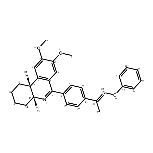 COc1cc2c(cc1OC)[C@H]1CCCC[C@H]1N=C2c1ccc(C(C)=NOc2ccccc2)cc1